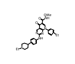 CCc1ccc(-n2cc(C(=O)NOC)c(=O)c3cnc(Nc4ccc(C5CCN(CC)CC5)cc4)nc32)cc1